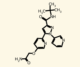 CC(C)(C)NC(=O)c1cc(-c2ccc(OCC(N)=O)cn2)n(-c2cccnc2)n1